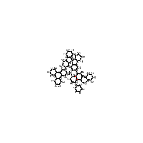 c1ccc(-c2ccc(N(c3ccc4c5ccccc5c5ccccc5c4c3)c3cc4c(cc3-c3ccc5ccc6ccccc6c5c3)-c3ccccc3C43c4ccccc4-c4ccccc43)cc2)cc1